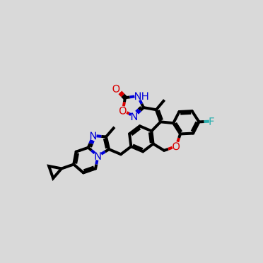 C/C(=C1/c2ccc(Cc3c(C)nc4cc(C5CC5)ccn34)cc2COc2cc(F)ccc21)c1noc(=O)[nH]1